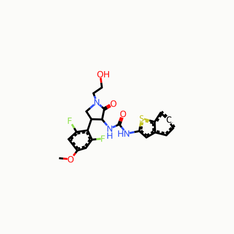 COc1cc(F)c(C2CN(CCO)C(=O)C2NC(=O)Nc2cc3ccccc3s2)c(F)c1